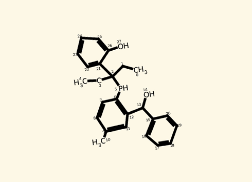 CCC(CC)(Pc1ccc(C)cc1C(O)c1ccccc1)c1ccccc1O